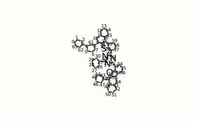 c1ccc(-c2cccc(-c3cc4ccccc4c4c3sc3c(-c5nc(-c6ccccc6)nc(-c6cccc7c6oc6c(-c8ccccc8)c8ccccc8cc67)n5)cccc34)c2)cc1